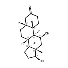 C[C@]12CCC(=O)C[C@H]1CC[C@@H]1[C@@H]2[C@@H](O)C[C@]2(C)[C@@H](O)CC[C@@H]12